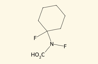 O=C(O)N(F)C1(F)CCCCC1